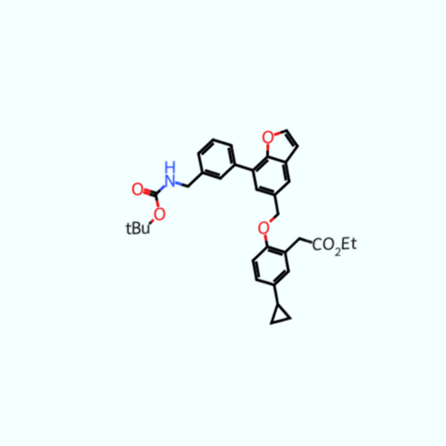 CCOC(=O)Cc1cc(C2CC2)ccc1OCc1cc(-c2cccc(CNC(=O)OC(C)(C)C)c2)c2occc2c1